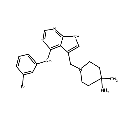 CC1(N)CCN(Cc2c[nH]c3ncnc(Nc4cccc(Br)c4)c23)CC1